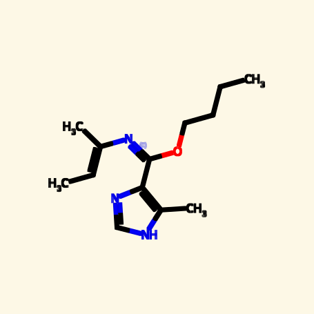 CC=C(C)/N=C(/OCCCC)c1nc[nH]c1C